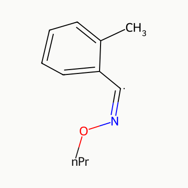 CCCO/N=[C]\c1ccccc1C